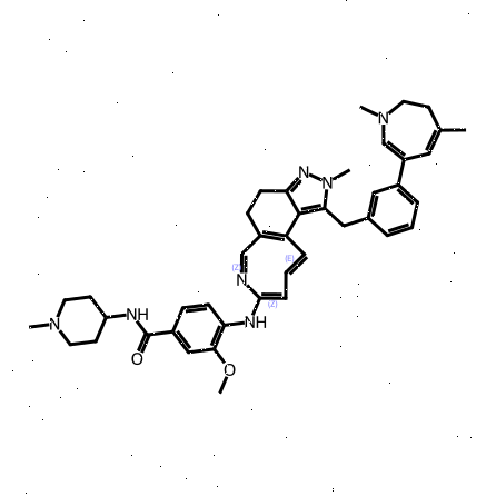 COc1cc(C(=O)NC2CCN(C)CC2)ccc1NC1=C/C=C/C2=C(/C=N\1)CCc1nn(C)c(Cc3cccc(C4=CN(C)CCC(C)=C4)c3)c12